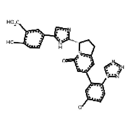 O=C(O)c1cc(-c2cnc([C@@H]3CCc4cc(-c5cc(Cl)ccc5-n5cnnn5)cc(=O)n43)[nH]2)ccc1O